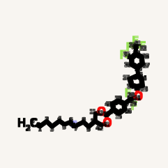 C=CCCCC/C=C/CCC1COC(c2ccc(C(F)(F)Oc3ccc(-c4ccc(C(F)(F)F)c(F)c4)cc3)cc2)OC1